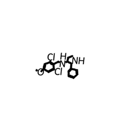 COc1cc(Cl)c(CNC2CCNC2c2ccccc2)c(Cl)c1